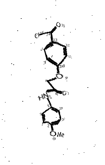 COc1ccc(NC(=O)COc2ccc(C(=O)Cl)cc2)cc1